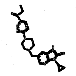 CCC(=O)c1ccc(N2CCN(Cc3cnc4c(c3)[nH]c(=O)n4C3CC3)CC2)cn1